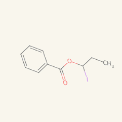 CCC(I)OC(=O)c1ccccc1